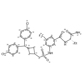 CC[C@H](NC(=O)c1cc(NS(=O)(=O)CC2CN(C(c3ccc(Cl)cc3)c3ccc(Cl)cc3)C2)cc(C(F)(F)F)c1)C(N)=O